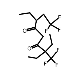 CCC(CC(F)(F)F)C(=O)CC(=O)C(CC)(CC)C(F)(F)F